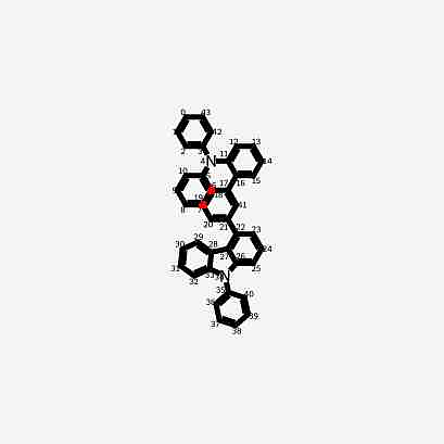 c1ccc(N(c2ccccc2)c2ccccc2-c2cccc(-c3cccc4c3c3ccccc3n4-c3ccccc3)c2)cc1